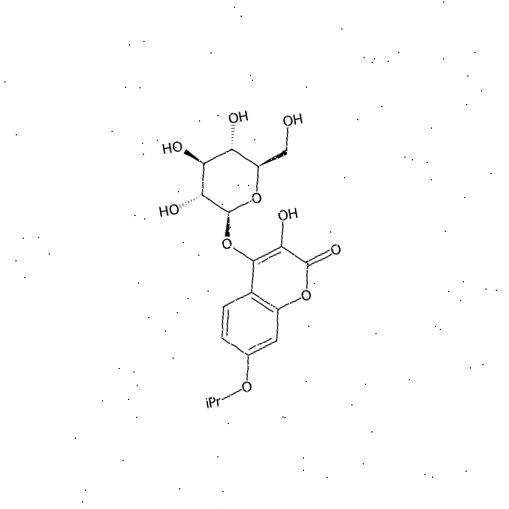 CC(C)Oc1ccc2c(O[C@@H]3O[C@H](CO)[C@@H](O)[C@H](O)[C@H]3O)c(O)c(=O)oc2c1